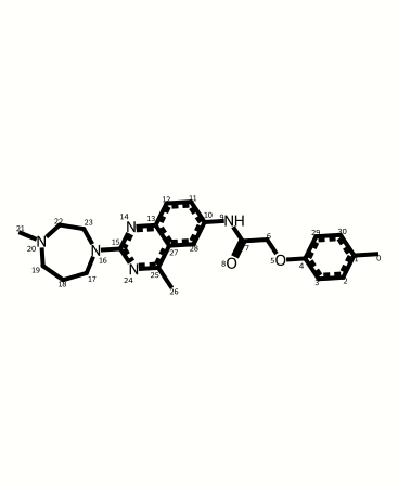 Cc1ccc(OCC(=O)Nc2ccc3nc(N4CCCN(C)CC4)nc(C)c3c2)cc1